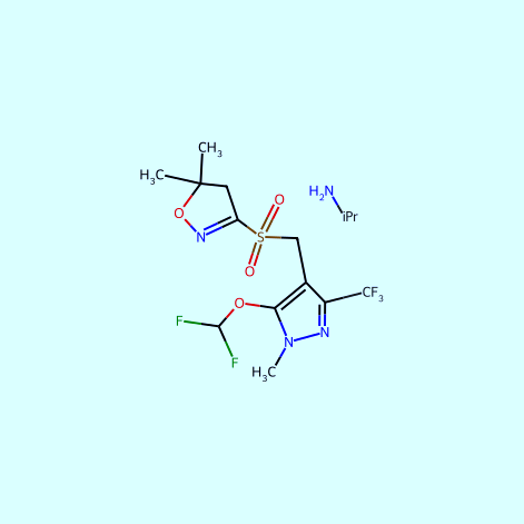 CC(C)N.Cn1nc(C(F)(F)F)c(CS(=O)(=O)C2=NOC(C)(C)C2)c1OC(F)F